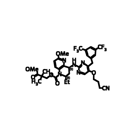 CC[C@@H]1C[C@H](Nc2ncc(OCCCC#N)c(Cc3cc(C(F)(F)F)cc(C(F)(F)F)c3)n2)c2nc(OC)ccc2N1C(=O)OCC(C)(C)C(=O)OC